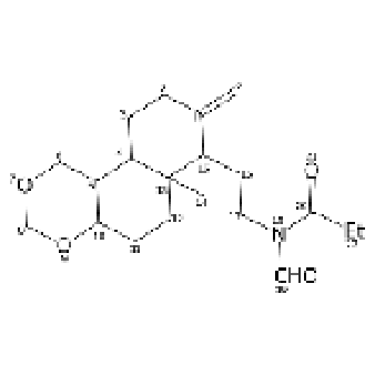 C=C1CCC2C3COCOC3CCC2(C)C1CCN(C=O)C(=O)CC